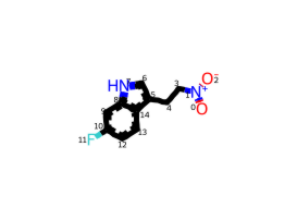 O=[N+]([O-])CCc1c[nH]c2cc(F)ccc12